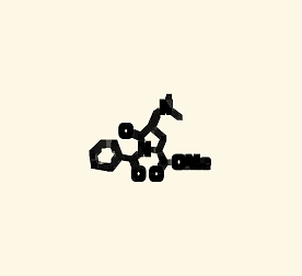 COC(=O)[C@@H]1CC(=CN(C)C)C(=O)N1C(=O)c1ccccc1